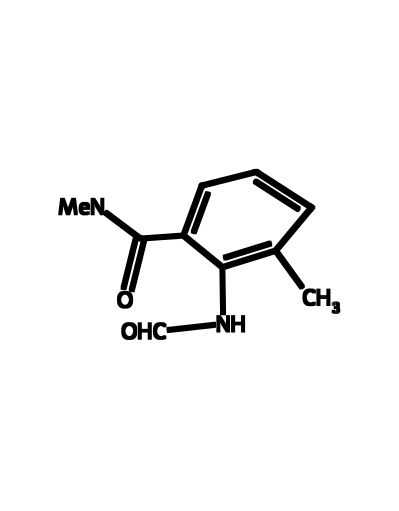 CNC(=O)c1cccc(C)c1NC=O